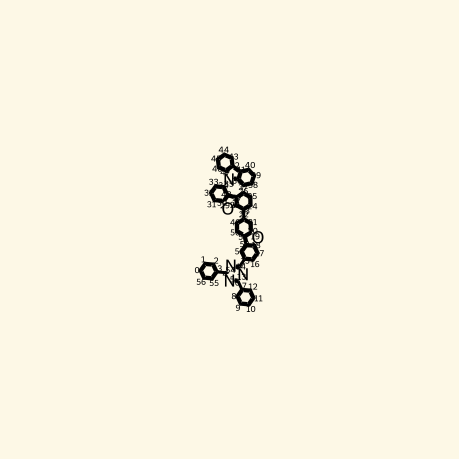 c1ccc(-c2nc(-c3ccccc3)nc(-c3ccc4oc5cc(-c6cccc7c6oc6cccc(-n8c9ccccc9c9ccccc98)c67)ccc5c4c3)n2)cc1